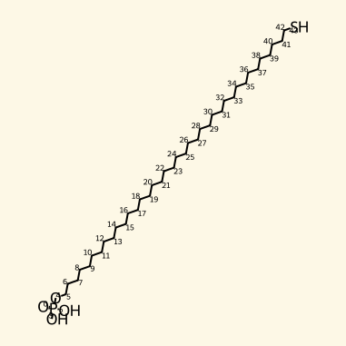 O=P(O)(O)OCCCCCCCCCCCCCCCCCCCCCCCCCCCCCCCCCCCCCCS